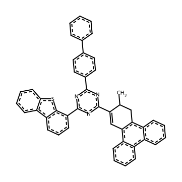 CC1Cc2c(c3ccccc3c3ccccc23)C=C1c1nc(-c2ccc(-c3ccccc3)cc2)nc(-c2cccc3c2sc2ccccc23)n1